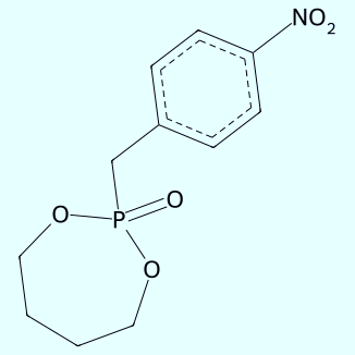 O=[N+]([O-])c1ccc(CP2(=O)OCCCCO2)cc1